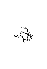 C=CCO[C@H]1OC(CO)[C@@H]2OC(C)(C)O[C@@H]2C1C